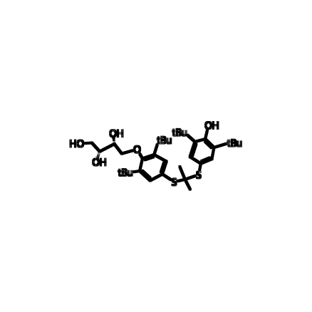 CC(C)(Sc1cc(C(C)(C)C)c(O)c(C(C)(C)C)c1)Sc1cc(C(C)(C)C)c(OC[C@@H](O)[C@H](O)CO)c(C(C)(C)C)c1